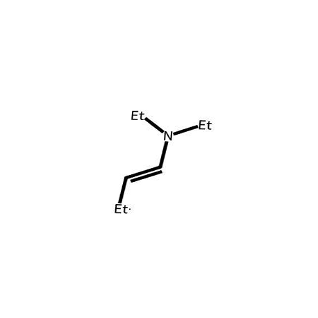 C[CH]C=CN(CC)CC